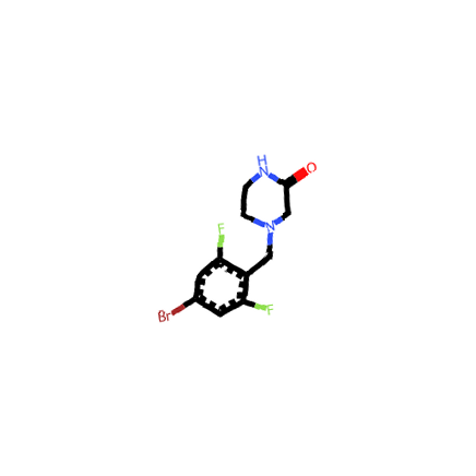 O=C1CN(Cc2c(F)cc(Br)cc2F)CCN1